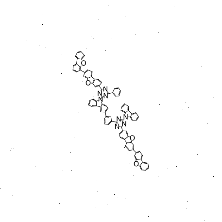 c1ccc(-c2nc(-c3ccc4c(c3)oc3cc(-c5cccc6c5oc5ccccc56)ccc34)nc(-n3c4ccccc4c4cc(-c5cccc(-c6nc(-c7ccc8c(c7)oc7cc(-c9ccc%10c(c9)oc9ccccc9%10)ccc78)nc(-n7c8ccccc8c8ccccc87)n6)c5)ccc43)n2)cc1